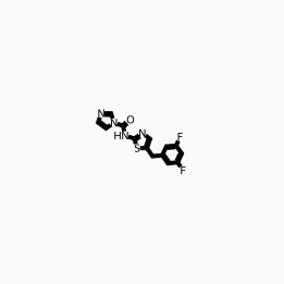 O=C(Nc1ncc(Cc2cc(F)cc(F)c2)s1)n1ccnc1